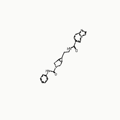 O=C(NCCC1C2CN(C(=O)Nc3ccccc3)CC12)c1ccc2nccn2c1